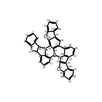 c1ccc2c(c1)SC1c3cccc4c3N(c3c5c(cc6c3oc3ccccc36)-c3cccc6c7c8ccccc8oc7n(c36)B45)C21